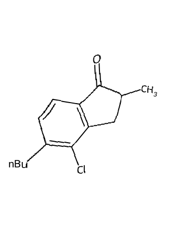 CCCCc1ccc2c(c1Cl)CC(C)C2=O